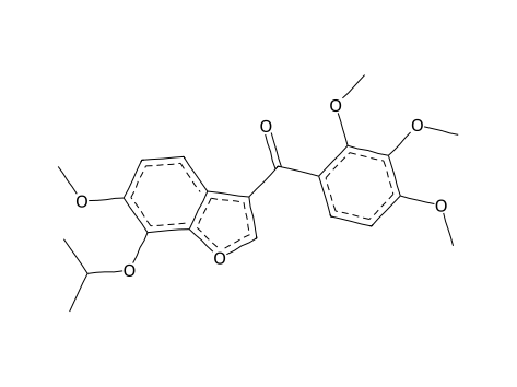 COc1ccc(C(=O)c2coc3c(OC(C)C)c(OC)ccc23)c(OC)c1OC